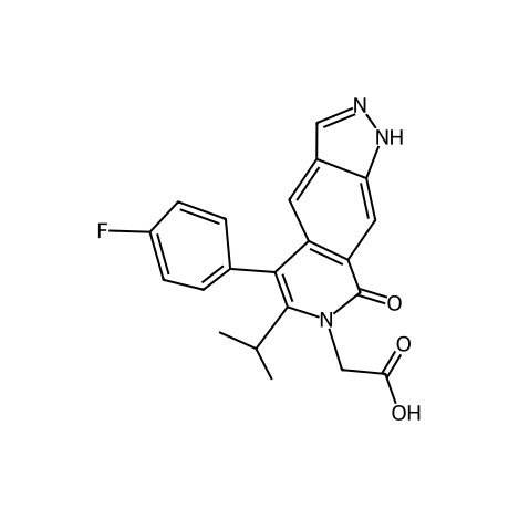 CC(C)c1c(-c2ccc(F)cc2)c2cc3cn[nH]c3cc2c(=O)n1CC(=O)O